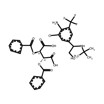 CC(C)(C)NC(CO)c1cc(Cl)c(N)c(C(F)(F)F)c1.O=C(O[C@@H](C(=O)O)[C@@H](OC(=O)c1ccccc1)C(=O)O)c1ccccc1